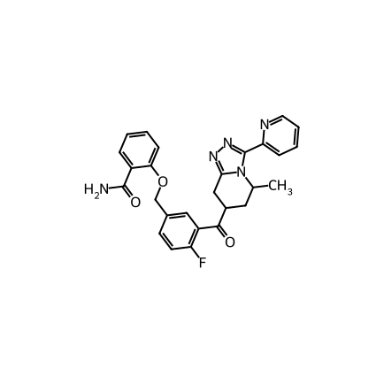 CC1CC(C(=O)c2cc(COc3ccccc3C(N)=O)ccc2F)Cc2nnc(-c3ccccn3)n21